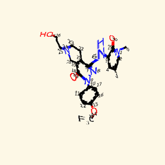 Cn1cccc(Nc2nn(-c3ccc(OC(F)(F)F)cc3)c(=O)c3c2CCN(CCO)C3)c1=O